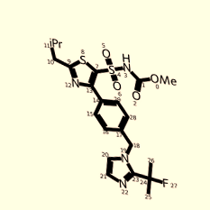 COC(=O)NS(=O)(=O)c1sc(CC(C)C)nc1-c1ccc(Cn2ccnc2C(C)(C)F)cc1